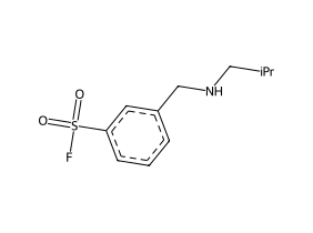 CC(C)CNCc1cccc(S(=O)(=O)F)c1